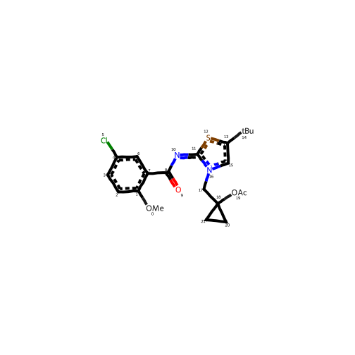 COc1ccc(Cl)cc1C(=O)N=c1sc(C(C)(C)C)cn1CC1(OC(C)=O)CC1